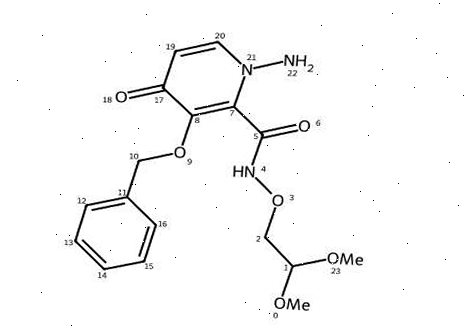 COC(CONC(=O)c1c(OCc2ccccc2)c(=O)ccn1N)OC